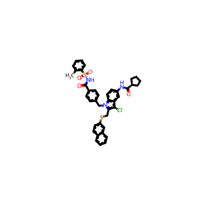 Cc1ccccc1S(=O)(=O)NC(=O)c1ccc(Cn2c(CSc3ccc4ccccc4c3)c(Cl)c3cc(NC(=O)C4CCCC4)ccc32)cc1